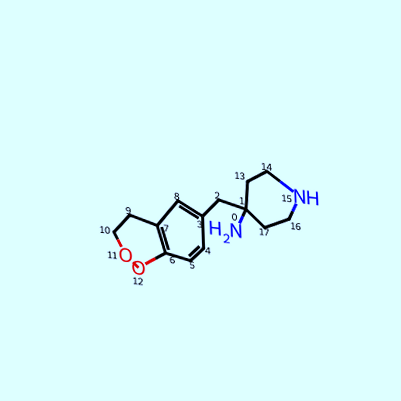 NC1(Cc2ccc3c(c2)CCOO3)CCNCC1